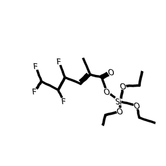 CCO[Si](OCC)(OCC)OC(=O)C(C)=CC(F)C(F)C(F)F